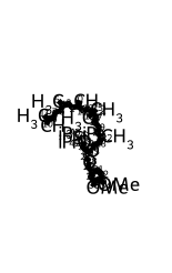 C=C(CC=C(C)CCC=C(C)C)CCC(C)(C)C=CCCC(C)=CCO[C@H](COCc1ccc(OC)c(OC)c1)CO[Si](C(C)C)(C(C)C)C(C)C